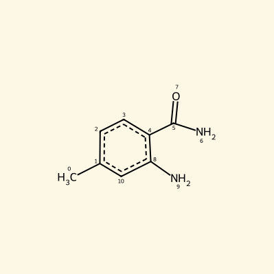 Cc1ccc(C(N)=O)c(N)c1